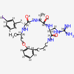 CC(C)[C@H]1NC(=O)[C@@H](Cc2cccc(I)c2)N[C@H](C)COc2ccccc2CCCNC(=O)[C@H](CNC(=N)N)NC1=O